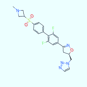 CN1CC(S(=O)(=O)c2ccc(-c3c(F)cc(C4=NO[C@@H](Cn5ccnn5)C4)cc3F)cc2)C1